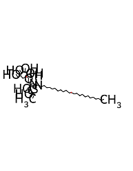 CCCCCCCCCCCCCCCCCCCCCCCCNC(=S)NC(COC1CC(CO)C(O)C(O)C1O)C(O)CC(O)CC